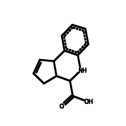 O=C(O)C1Nc2ccccc2C2C=CCC12